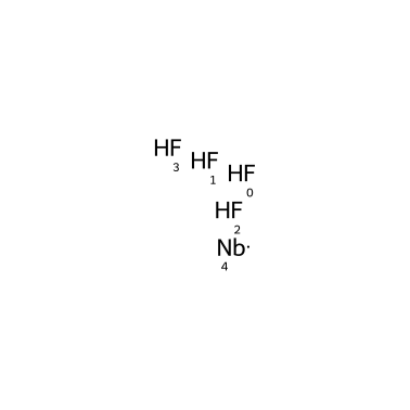 F.F.F.F.[Nb]